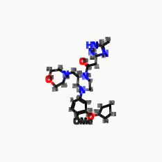 COc1ccc(N2CCN(C(=O)Cc3n[nH]c(C)n3)C(CN3CCOCC3)C2)cc1OC1CCCC1